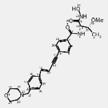 CO[C@H](C)[C@H](NC(=O)c1ccc(C#CC=Cc2ccc(CN3CCOCC3)cc2)cc1)C(=O)NO